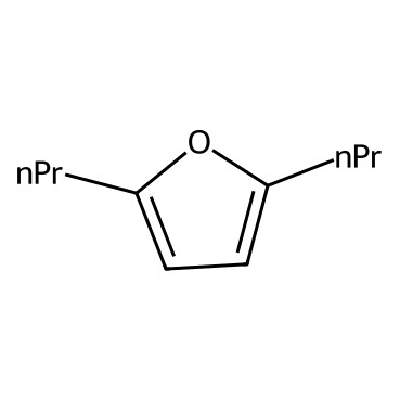 CCCc1ccc(CCC)o1